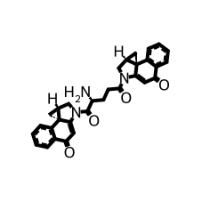 N[C@@H](CCC(=O)N1C[C@H]2C[C@@]23C1=CC(=O)c1ccccc13)C(=O)N1C[C@H]2C[C@@]23C1=CC(=O)c1ccccc13